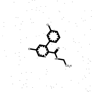 O=C(O)CNC(=O)c1ncc(Cl)cc1-c1cccc(Cl)c1